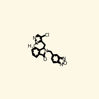 Cn1ncc(Cl)c1CC1c2ccccc2C(=O)N1Cc1ccc2nonc2c1